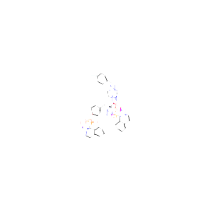 CN([C@@H](Cc1ccc(OS(=O)(=O)c2nccc3ccccc23)cc1)C(=O)N1CCN(Cc2ccc(F)cc2)CC1)S(=O)(=O)c1nccc2ccccc12